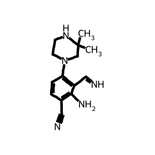 CC1(C)CN(c2ccc(C#N)c(N)c2C=N)CCN1